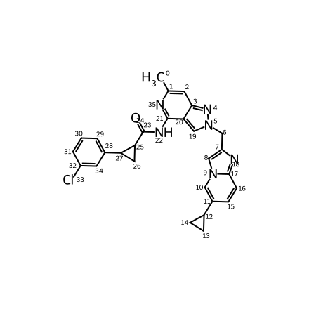 Cc1cc2nn(Cc3cn4cc(C5CC5)ccc4n3)cc2c(NC(=O)C2CC2c2cccc(Cl)c2)n1